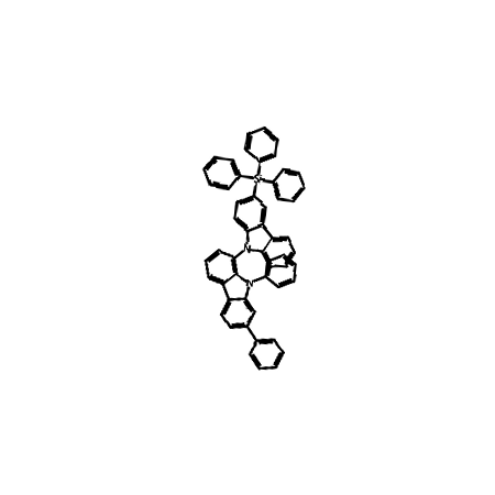 c1ccc(-c2ccc3c4cccc(-n5c6ccccc6c6cc([Si](c7ccccc7)(c7ccccc7)c7ccccc7)ccc65)c4n(-c4ccccc4)c3c2)cc1